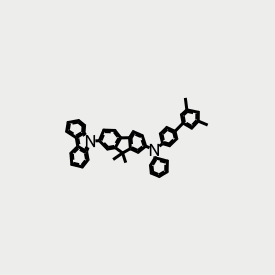 Cc1cc(C)cc(-c2ccc(N(c3ccccc3)c3ccc4c(c3)C(C)(C)c3cc(-n5c6ccccc6c6ccccc65)ccc3-4)cc2)c1